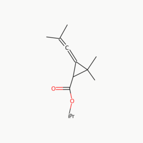 CC(C)=C=C1C(C(=O)OC(C)C)C1(C)C